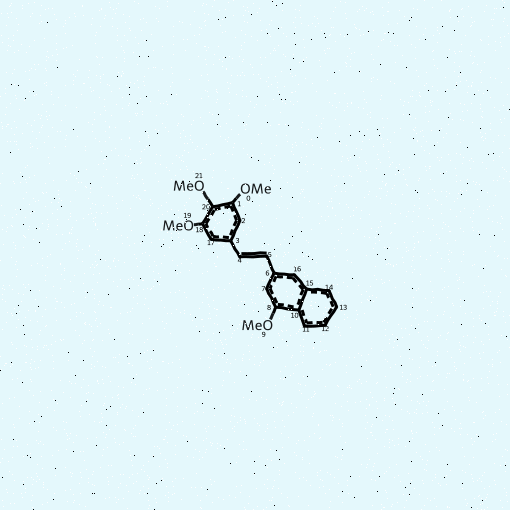 COc1cc(/C=C/c2cc(OC)c3ccccc3c2)cc(OC)c1OC